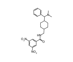 CN(C)C(c1ccccc1)C1CCC(CNC(=O)c2cc([N+](=O)[O-])cc([N+](=O)[O-])c2)CC1